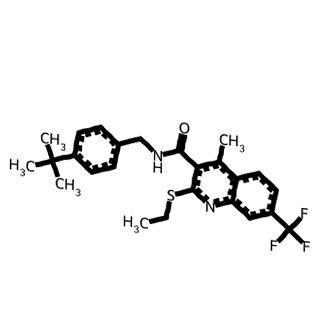 CCSc1nc2cc(C(F)(F)F)ccc2c(C)c1C(=O)NCc1ccc(C(C)(C)C)cc1